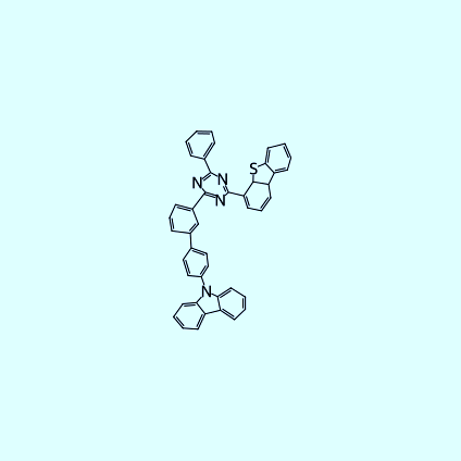 C1=CC2c3ccccc3SC2C(c2nc(-c3ccccc3)nc(-c3cccc(-c4ccc(-n5c6ccccc6c6ccccc65)cc4)c3)n2)=C1